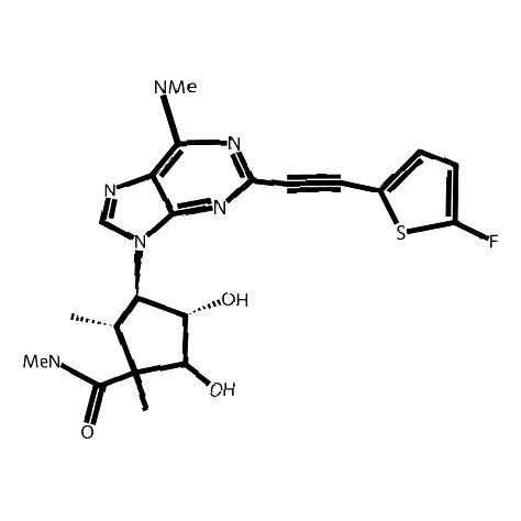 CNC(=O)C1(C)C(O)[C@@H](O)[C@H](n2cnc3c(NC)nc(C#Cc4ccc(F)s4)nc32)[C@H]1C